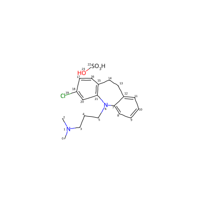 CN(C)CCCN1c2ccccc2CCc2ccc(Cl)cc21.O=S(=O)(O)O